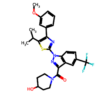 COc1cccc(-c2nc(-n3nc(C(=O)N4CCC(O)CC4)c4cc(C(F)(F)F)ccc43)sc2C(C)C)c1